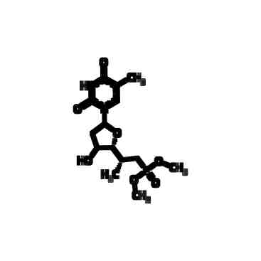 COP(=O)(C[C@H](C)[C@H]1OC(n2cc(C)c(=O)[nH]c2=O)CC1O)OC